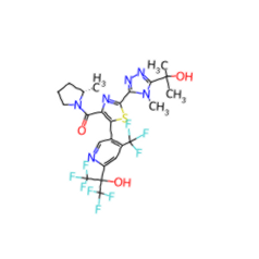 C[C@H]1CCCN1C(=O)c1nc(-c2nnc(C(C)(C)O)n2C)sc1-c1cnc(C(O)(C(F)(F)F)C(F)(F)F)cc1C(F)(F)F